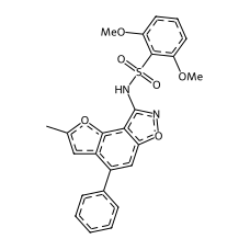 COc1cccc(OC)c1S(=O)(=O)Nc1noc2cc(-c3ccccc3)c3cc(C)oc3c12